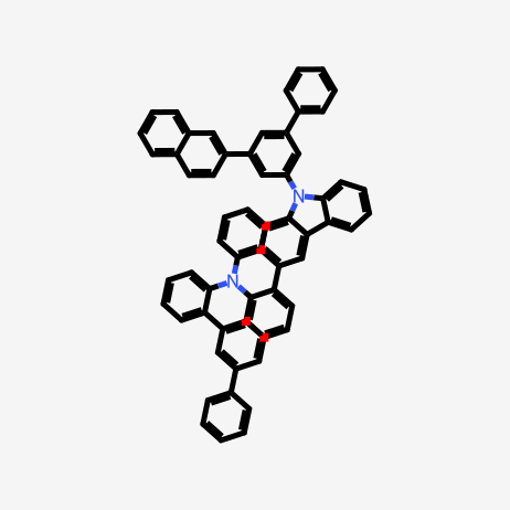 c1ccc(-c2cccc(-c3ccccc3N(c3ccccc3)c3ccccc3-c3ccc4c(c3)c3ccccc3n4-c3cc(-c4ccccc4)cc(-c4ccc5ccccc5c4)c3)c2)cc1